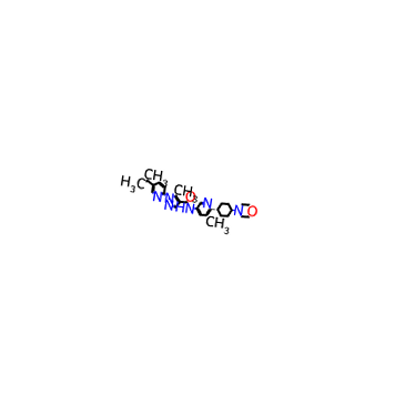 Cc1cc(NC(=O)c2cnn(-c3ccc(C(C)C)cn3)c2C)cnc1[C@H]1CC[C@H](N2CCOCC2)CC1